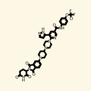 O=C1CCC(N2C(=O)c3ccc(N4CCC(N5CCN(c6ncc(C(=O)Nc7ccc(OC(F)(F)Cl)cc7)cc6-c6ccn[nH]6)CC5)CC4)cc3C2=O)C(=O)N1